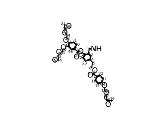 N=Cc1cc(CCOC(=O)c2ccc(OCOCC3CO3)cc2)ccc1OC(=O)c1ccc(OCOC2CO2)c(OCOC2CO2)c1